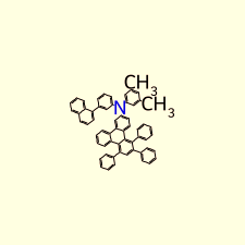 Cc1cc(C)cc(N(c2cccc(-c3cccc4ccccc34)c2)c2ccc3c(c2)c2ccccc2c2c(-c4ccccc4)cc(-c4ccccc4)c(-c4ccccc4)c32)c1